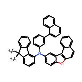 CC1(C)c2ccccc2-c2c(N(c3cccc(-c4cccc5ccccc45)c3)c3ccc4oc5ccc6ccccc6c5c4c3)cccc21